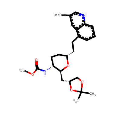 COc1cnc2cccc(CC[C@H]3CC[C@@H](NC(=O)OC(C)(C)C)[C@H](C[C@@H]4COC(C)(C)O4)O3)c2c1